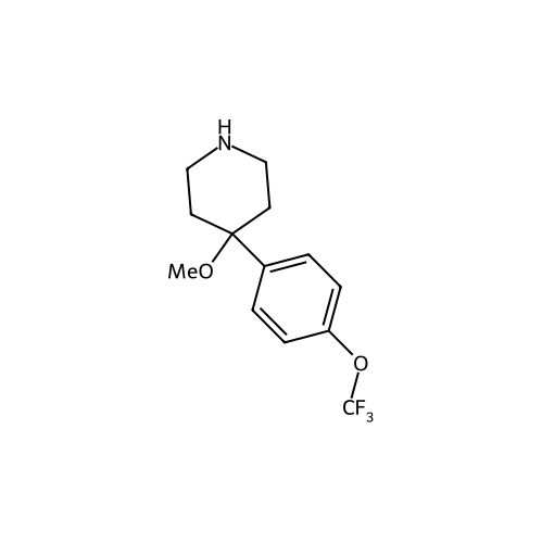 COC1(c2ccc(OC(F)(F)F)cc2)CCNCC1